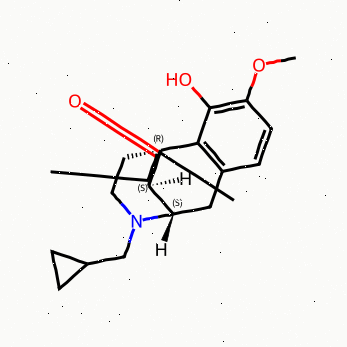 COc1ccc2c(c1O)[C@@]13CCN(CC4CC4)[C@@H](C2)[C@H]1CC(C)C(=O)C3